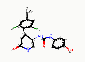 COc1cc(F)c([C@@H]2CC(=O)NC[C@H]2NC(=O)Nc2ccc(O)cc2)c(F)c1